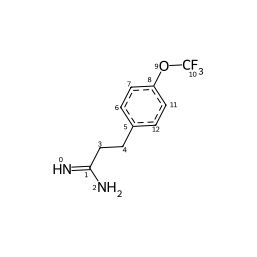 N=C(N)CCc1ccc(OC(F)(F)F)cc1